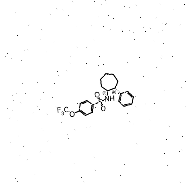 O=S(=O)(N[C@H]1CCCCC[C@@H]1c1ccccc1)c1ccc(OC(F)(F)F)cc1